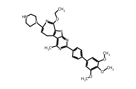 CCOC1=NC(N2CCNCC2)=CCc2c1sc1nc(-c3ccc(-c4cc(OC)c(OC)c(OC)c4)cc3)nc(C)c21